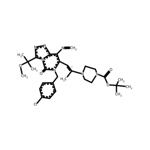 C=Nc1c(/C=C(\C)N2CCN(C(=O)OC(C)(C)C)CC2)n(Cc2ccc(Cl)cc2)c(=O)n2c(C(C)(C)OC)nnc12